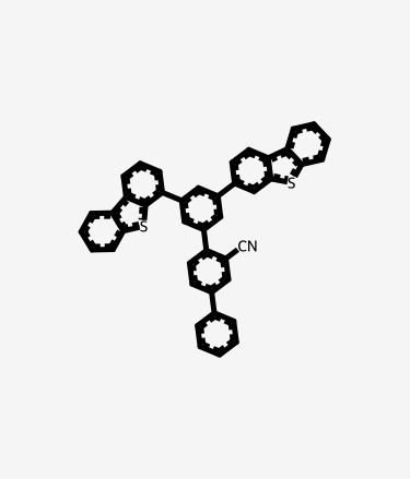 N#Cc1cc(-c2ccccc2)ccc1-c1cc(-c2ccc3c(c2)sc2ccccc23)cc(-c2cccc3c2sc2ccccc23)c1